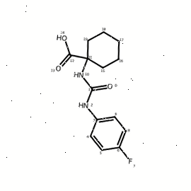 O=C(Nc1ccc(F)cc1)NC1(C(=O)O)CCCCC1